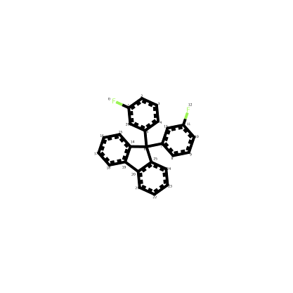 Fc1cccc(C2(c3cccc(F)c3)c3ccccc3-c3ccccc32)c1